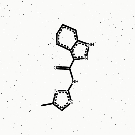 Cc1csc(NC(=O)c2n[nH]c3ccccc23)n1